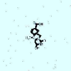 COc1ccc(C(=O)O)cc1CN1CCC(O)NC1=O